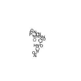 COc1cc(C(=O)NC2CCN(CC(=O)N(C)C)CC2)ccc1Nc1ncc2c(n1)N(C1CCCC1)CC(F)(F)C(=O)N2C